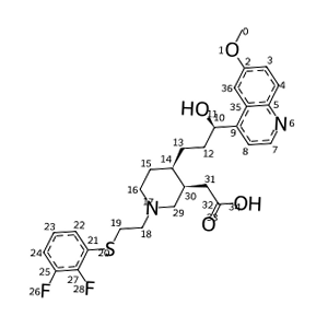 COc1ccc2nccc([C@H](O)CC[C@@H]3CCN(CCSc4cccc(F)c4F)C[C@@H]3CC(=O)O)c2c1